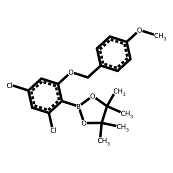 COc1ccc(COc2cc(Cl)cc(Cl)c2B2OC(C)(C)C(C)(C)O2)cc1